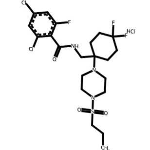 CCCS(=O)(=O)N1CCN(C2(CNC(=O)c3c(F)cc(Cl)cc3Cl)CCC(F)(F)CC2)CC1.Cl